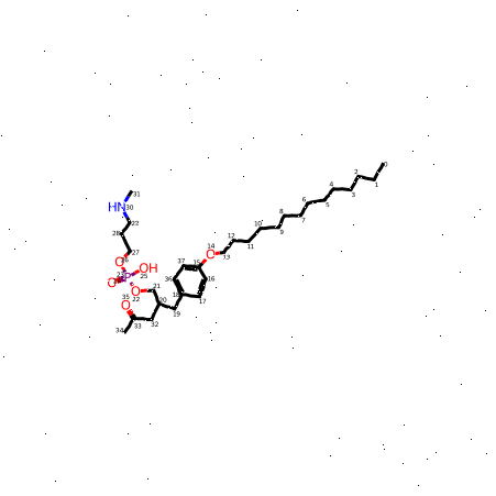 CCCCCCCCCCCCCCOc1ccc(CC(COP(=O)(O)OCCCNC)CC(C)=O)cc1